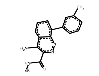 CCCNC(=O)c1nnc2c(-c3cccc(C)c3)cccc2c1N